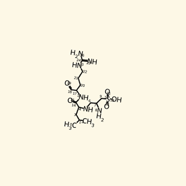 CC(C)CC(NCC(N)CS(=O)(=O)O)C(=O)NC(C=O)CCCNC(=N)N